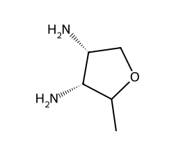 CC1OC[C@@H](N)[C@H]1N